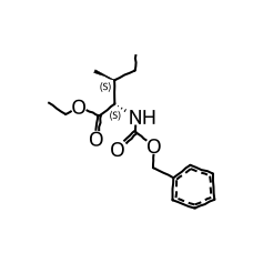 CCOC(=O)[C@@H](NC(=O)OCc1ccccc1)[C@@H](C)CC